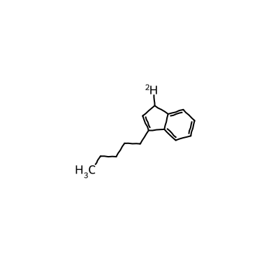 [2H]C1C=C(CCCCC)c2ccccc21